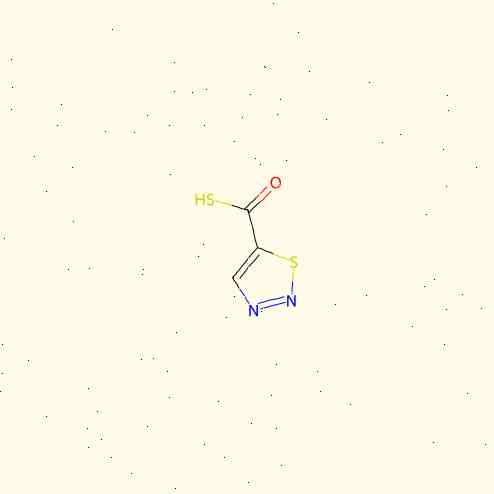 O=C(S)c1cnns1